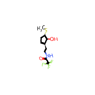 CS[C@H]1CC[C@H](CCNC(=O)C(F)(F)F)[C@@H]1O